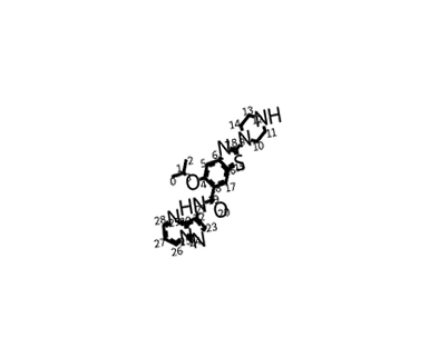 CC(C)Oc1cc2nc(N3CCNCC3)sc2cc1C(=O)Nc1cnn2cccnc12